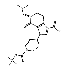 CN(C)/C=C1\CCc2c(C(=O)O)cn(C3CCN(C(=O)OC(C)(C)C)CC3)c2C1=O